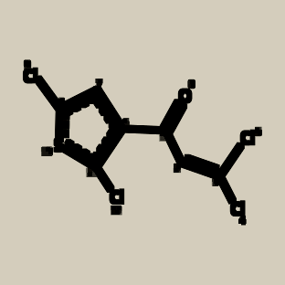 O=C(C=C(Cl)Cl)c1cc(Cl)sc1Cl